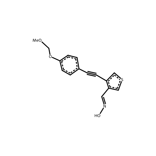 COCOc1ccc(C#Cc2cscc2C=NO)cc1